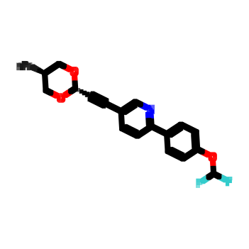 CCC[C@H]1CO[C@H](C#Cc2ccc(-c3ccc(OC(F)F)cc3)nc2)OC1